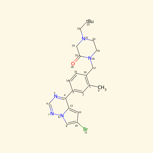 Cc1cc(-c2ncnn3cc(Br)cc23)ccc1CN1CCN(CC(C)(C)C)CC1=O